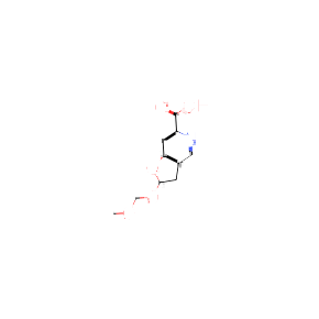 COCOC1Cc2cnc(C(=O)O)cc2O1